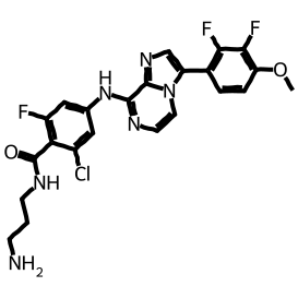 COc1ccc(-c2cnc3c(Nc4cc(F)c(C(=O)NCCCN)c(Cl)c4)nccn23)c(F)c1F